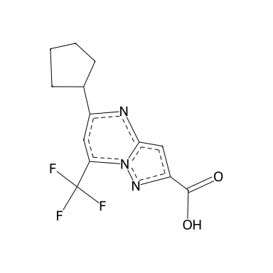 O=C(O)c1cc2nc(C3CCCC3)cc(C(F)(F)F)n2n1